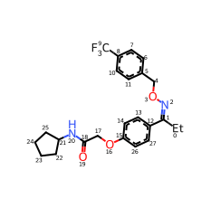 CCC(=NOCc1ccc(C(F)(F)F)cc1)c1ccc(OCC(=O)NC2CCCC2)cc1